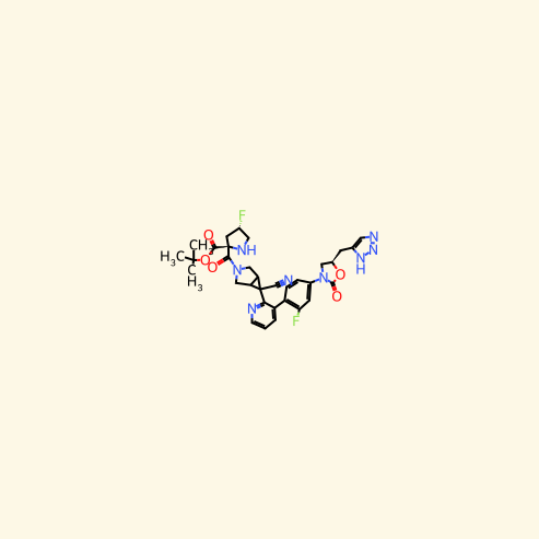 CC(C)(C)OC(=O)[C@@]1(C(=O)N2CC3C(C2)C3(C#N)c2ncccc2-c2ccc(N3C[C@@H](Cc4cnn[nH]4)OC3=O)cc2F)C[C@H](F)CN1